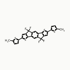 Cc1ccc(-c2cc3c(s2)-c2cc4c(cc2C3(F)F)-c2sc(-c3ccc(C)s3)cc2C4(F)F)s1